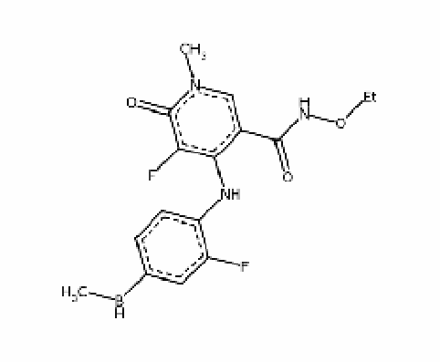 CBc1ccc(Nc2c(C(=O)NOCC)cn(C)c(=O)c2F)c(F)c1